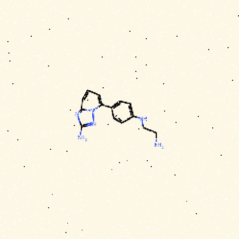 NCCNc1ccc(-c2cccc3nc(N)nn23)cc1